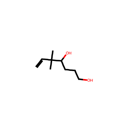 C=CC(C)(C)C(O)CCCO